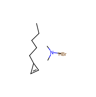 Br.CCCCCC1C=C1.CN(C)C